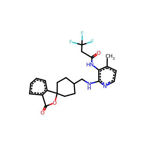 Cc1ccnc(NCC2CCC3(CC2)OC(=O)c2ccccc23)c1NC(=O)CC(F)(F)F